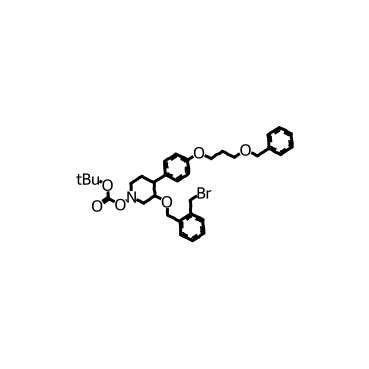 CC(C)(C)OC(=O)ON1CCC(c2ccc(OCCCOCc3ccccc3)cc2)C(OCc2ccccc2CBr)C1